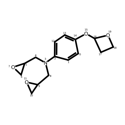 c1cc(N(CC2CO2)CC2CO2)ccc1OC1CCO1